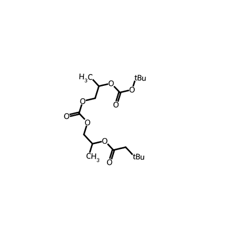 CC(COC(=O)OCC(C)OC(=O)OC(C)(C)C)OC(=O)CC(C)(C)C